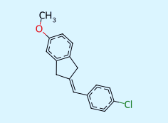 COc1ccc2c(c1)C/C(=C/c1ccc(Cl)cc1)C2